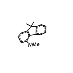 CNc1cccc2c1-c1ccccc1C2(C)C